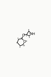 C1CCC(OC2CNC2)OC1